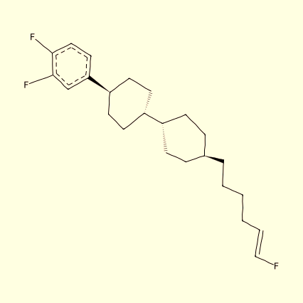 FC=CCCCC[C@H]1CC[C@H]([C@H]2CC[C@H](c3ccc(F)c(F)c3)CC2)CC1